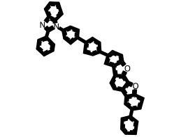 c1ccc(-c2ccc3oc4c(ccc5c6cc(-c7ccc(-c8ccc(-n9c(-c%10ccccc%10)nc%10ccccc%109)cc8)cc7)ccc6oc54)c3c2)cc1